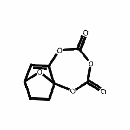 O=C1OC(=O)OC23CCC(C=C2O1)O3